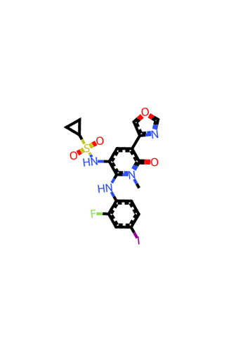 Cn1c(Nc2ccc(I)cc2F)c(NS(=O)(=O)C2CC2)cc(-c2cocn2)c1=O